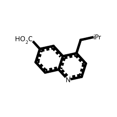 CC(C)Cc1ccnc2ccc(C(=O)O)cc12